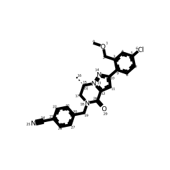 COCc1cc(Cl)ccc1-c1cc2n(n1)[C@@H](C)CN(Cc1ccc(C#N)cc1)C2=O